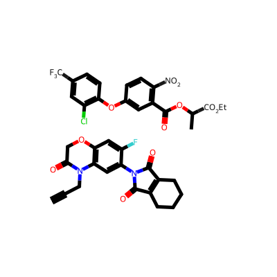 C#CCN1C(=O)COc2cc(F)c(N3C(=O)C4=C(CCCC4)C3=O)cc21.CCOC(=O)C(C)OC(=O)c1cc(Oc2ccc(C(F)(F)F)cc2Cl)ccc1[N+](=O)[O-]